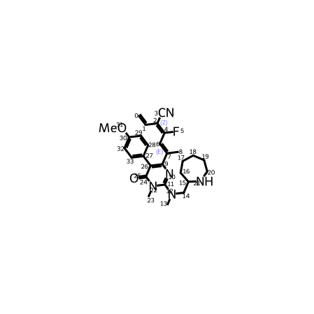 C=C/C(C#N)=C(F)\C=C(/C)c1nc(N(C)CC2CCCCCN2)n(C)c(=O)c1-c1ccc(OC)cc1